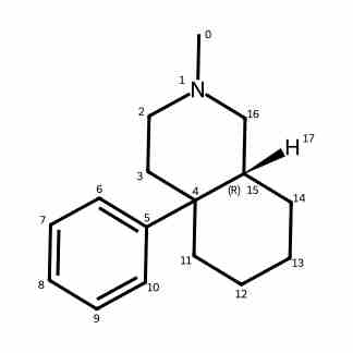 CN1CCC2(c3ccccc3)CCCC[C@H]2C1